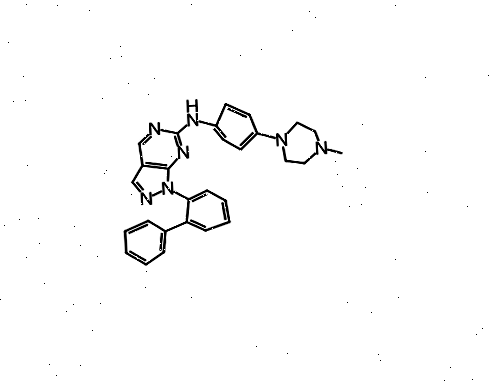 CN1CCN(c2ccc(Nc3ncc4cnn(-c5ccccc5-c5ccccc5)c4n3)cc2)CC1